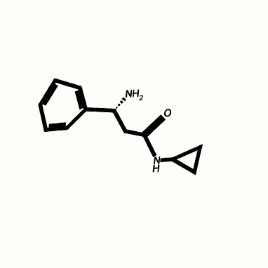 N[C@H](CC(=O)NC1CC1)c1ccccc1